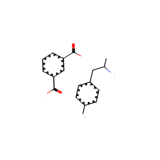 Cc1ccc(CC(C)N)cc1.O=C(O)c1cccc(C(=O)O)c1